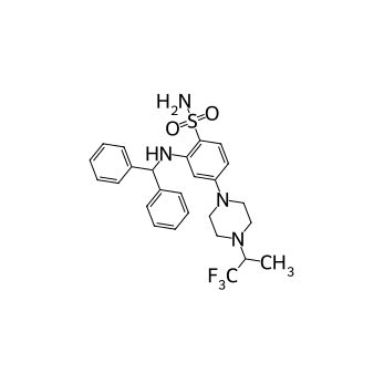 CC(N1CCN(c2ccc(S(N)(=O)=O)c(NC(c3ccccc3)c3ccccc3)c2)CC1)C(F)(F)F